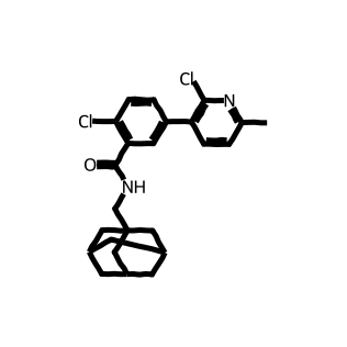 Cc1ccc(-c2ccc(Cl)c(C(=O)NCC34CC5CC(CC(C5)C3)C4)c2)c(Cl)n1